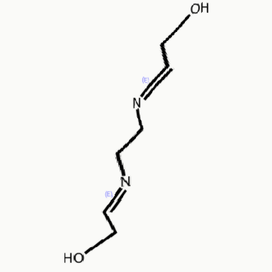 OC/C=N/CC/N=C/CO